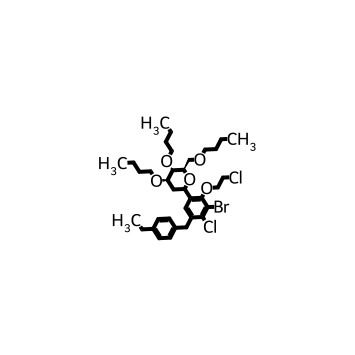 CCCCOC[C@H]1OC(c2cc(Cc3ccc(CC)cc3)c(Cl)c(Br)c2OCCCl)C[C@@H](OCCCC)[C@@H]1OCCCC